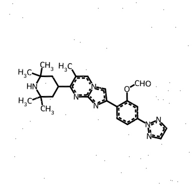 Cc1cn2cc(-c3ccc(-n4nccn4)cc3OC=O)nc2nc1C1CC(C)(C)NC(C)(C)C1